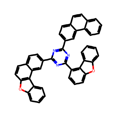 c1ccc2c(c1)ccc1ccc(-c3nc(-c4ccc5ccc6oc7ccccc7c6c5c4)nc(-c4cccc5oc6ccccc6c45)n3)cc12